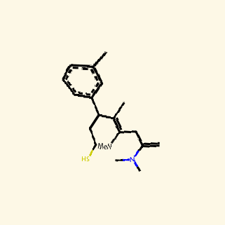 C=C(C/C(NC)=C(\C)C(CCS)c1cccc(C)c1)N(C)C